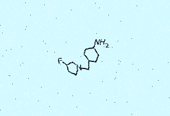 NC1CCC(CN2CCC(F)C2)CC1